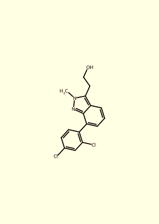 Cn1nc2c(-c3ccc(Cl)cc3Cl)cccc2c1CCO